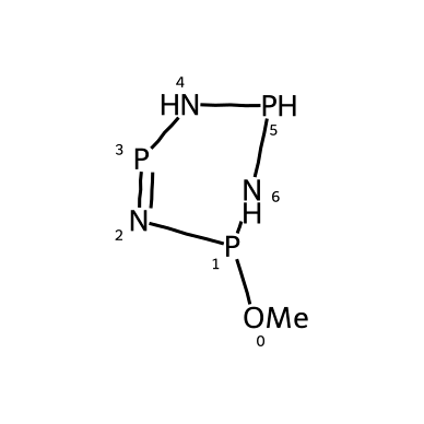 COp1np[nH][pH][nH]1